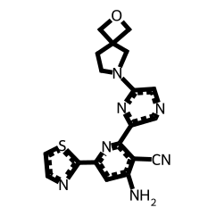 N#Cc1c(N)cc(-c2nccs2)nc1-c1cncc(N2CCC3(COC3)C2)n1